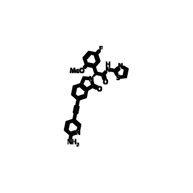 COc1ccc(F)cc1[C@H](C(=O)Nc1nccs1)N1Cc2ccc(C#Cc3ccc(N)nc3)cc2C1=O